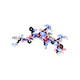 CC[C@H](C)[C@H](NC(=O)[C@H](CC(N)=O)NC(=O)[C@H](Cc1c[nH]cn1)NC(=O)[C@@H](NC(=O)[C@@H]1CCCN1C(=O)[C@H](CCCNC(=N)N)NC(=O)[C@H](Cc1ccc(O)cc1)NC(=O)CNC(=O)[C@@H](N)CS)C(C)C)C(=O)N[C@@H](CCCNC(=N)N)C(=O)NCC(=O)N[C@@H](Cc1c[nH]cn1)C(=O)N[C@@H](Cc1c[nH]c2ccccc12)C(=O)N[C@@H](C)C(=O)N1CCC[C@H]1C(=O)NCC(=O)N[C@@H](CCCCN)C(=O)O